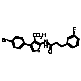 O=C(CCc1cccc(F)c1)Nc1scc(-c2ccc(Br)cc2)c1C(=O)O